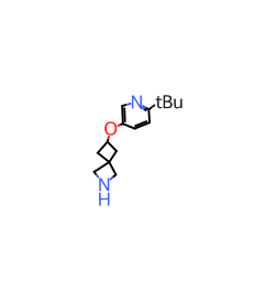 CC(C)(C)c1ccc(OC2CC3(CNC3)C2)cn1